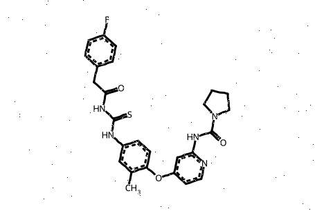 Cc1cc(NC(=S)NC(=O)Cc2ccc(F)cc2)ccc1Oc1ccnc(NC(=O)N2CCCC2)c1